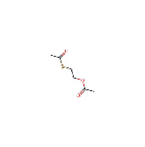 CC(=O)OCCSC(C)=O